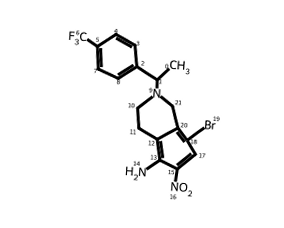 CC(c1ccc(C(F)(F)F)cc1)N1CCc2c(N)c([N+](=O)[O-])cc(Br)c2C1